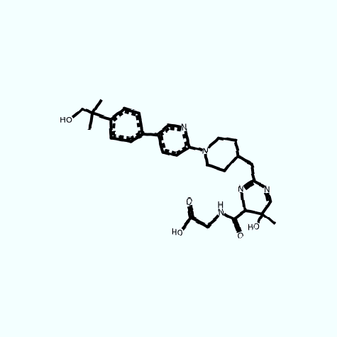 CC(C)(CO)c1ccc(-c2ccc(N3CCC(CC4=NC(C(=O)NCC(=O)O)C(C)(O)C=N4)CC3)nc2)cc1